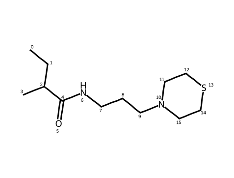 CCC(C)C(=O)NCCCN1CCSCC1